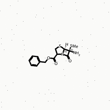 CS[C@@]1(N)C(=O)N2C(C(=O)OCc3ccccc3)CS[C@H]21